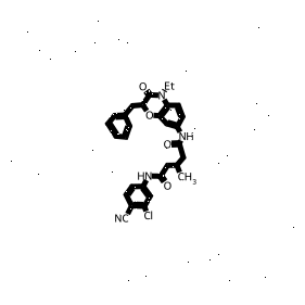 CCN1C(=O)C(Cc2ccccc2)Oc2cc(NC(=O)CC(C)CC(=O)Nc3ccc(C#N)c(Cl)c3)ccc21